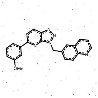 COc1cccc(-c2ccc3nnn(Cc4ccc5ncccc5c4)c3n2)c1